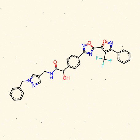 O=C(NCc1cnn(Cc2ccccc2)c1)C(O)c1ccc(-c2noc(-c3onc(-c4ccccc4)c3C(F)(F)F)n2)cc1